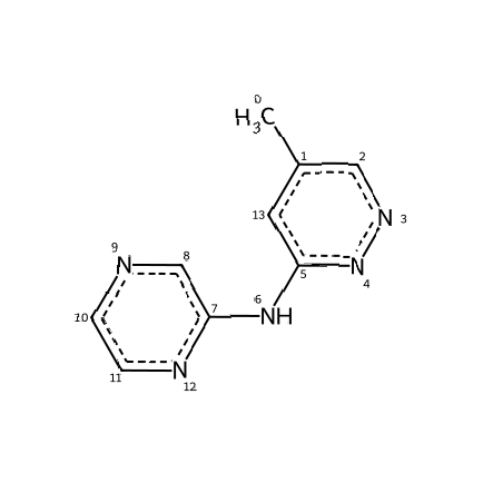 Cc1cnnc(Nc2cnccn2)c1